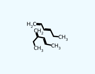 C=C(C=CC)CC.C=CC=CCC